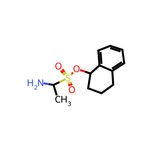 CC(N)S(=O)(=O)OC1CCCc2ccccc21